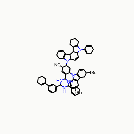 CC(C)(C)C1C=Cc2c(c3c(n2C2=CC(N4C5=C(C=CCC5)C5C6C7=C(CCCC7)N(C7=CCCC=C7)C6C=CC54)C(C#N)C=C2C2NC(C4=CCCC=C4)NC(c4cccc(C5=CCCCC5)c4)N2)C=CC(C(C)(C)C)C3)C1